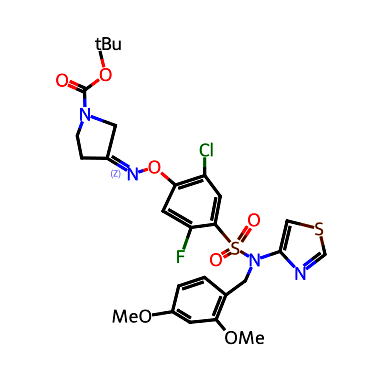 COc1ccc(CN(c2cscn2)S(=O)(=O)c2cc(Cl)c(O/N=C3/CCN(C(=O)OC(C)(C)C)C3)cc2F)c(OC)c1